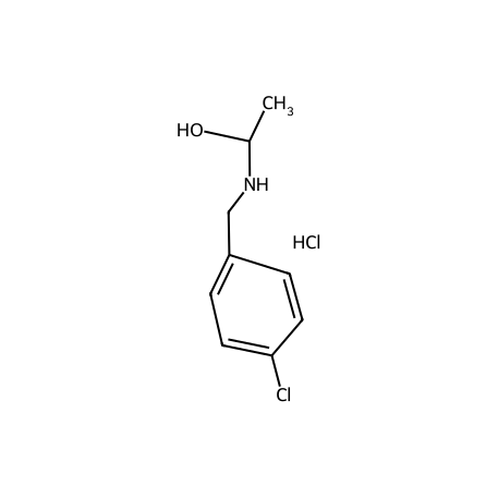 CC(O)NCc1ccc(Cl)cc1.Cl